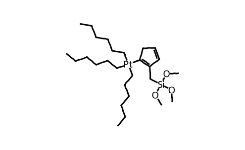 CCCCC[CH2][Pt]([CH2]CCCCC)([CH2]CCCCC)[C]1=C(C[Si](OC)(OC)OC)C=CC1